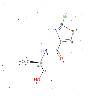 O=C(N[C@@H](CO)C(=O)O)c1csc(Br)n1